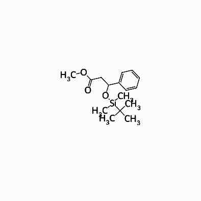 COC(=O)CC(O[Si](C)(C)C(C)(C)C)c1ccccc1